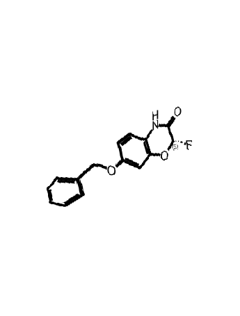 O=C1Nc2ccc(OCc3ccccc3)cc2O[C@H]1F